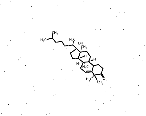 CC(C)CCC[C@@H](C)[C@]1(O)CC[C@H]2[C@@H]3CC=C4C(C)(C)C(=O)CC[C@]4(C)[C@H]3CC[C@@]21C